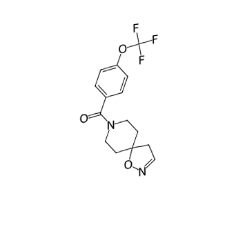 O=C(c1ccc(OC(F)(F)F)cc1)N1CCC2(CC=NO2)CC1